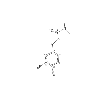 CN(C)C(=O)CCc1ccc(F)c(F)c1